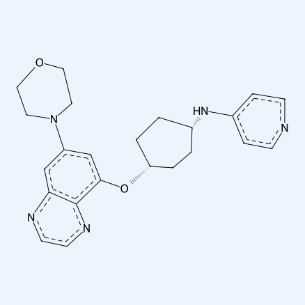 c1cc(N[C@H]2CC[C@@H](Oc3cc(N4CCOCC4)cc4nccnc34)CC2)ccn1